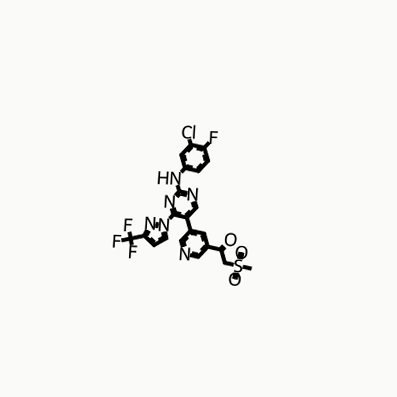 CS(=O)(=O)CC(=O)c1cncc(-c2cnc(Nc3ccc(F)c(Cl)c3)nc2-n2ccc(C(F)(F)F)n2)c1